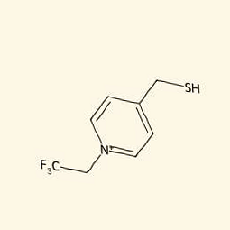 FC(F)(F)C[n+]1ccc(CS)cc1